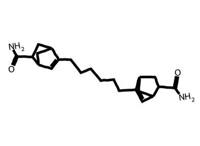 NC(=O)C1CC2CC1C=C2CCCCCCC1=CC2CC1CC2C(N)=O